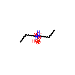 CCCCCCCC/C=C\CCCCCCCC(=O)NC(CO)(NC)NC(=O)CCCCCCC/C=C\CCCCCCCC.COS(=O)(=O)O